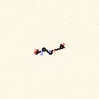 CCC(CC)(CCNc1cccc(C=Cc2cccc(COCCCCc3cc(C)c(OC)c(C)c3)n2)c1)C(=O)O